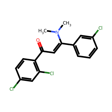 CN(C)C(=CC(=O)c1ccc(Cl)cc1Cl)c1cccc(Cl)c1